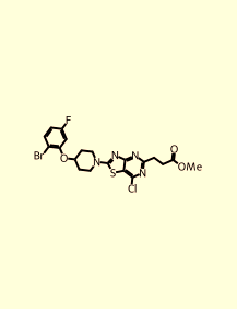 COC(=O)CCc1nc(Cl)c2sc(N3CCC(Oc4cc(F)ccc4Br)CC3)nc2n1